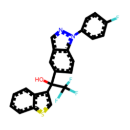 OC(c1ccc2c(cnn2-c2ccc(F)cc2)c1)(c1csc2ccccc12)C(F)(F)F